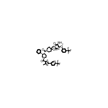 Cc1nc(-c2ccc(C(F)(F)F)nc2)sc1C(=O)N1CC[C@@H](C(=O)N2CCC(O)(Cn3cnc(Oc4cccc(C(F)(F)F)c4)c(N)c3=O)CC2)[C@H](c2ccccc2)C1